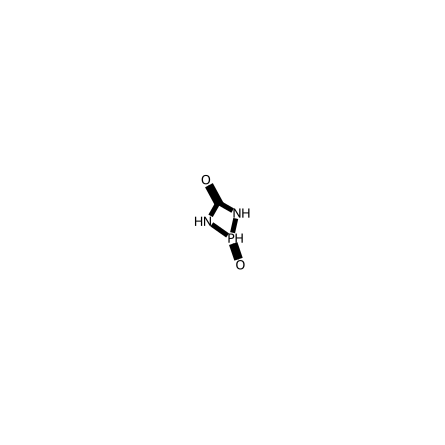 O=C1N[PH](=O)N1